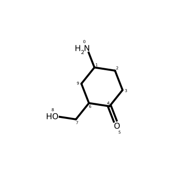 NC1CCC(=O)C(CO)C1